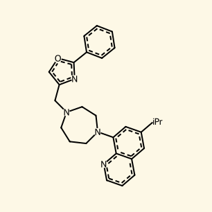 CC(C)c1cc(N2CCCN(Cc3coc(-c4ccccc4)n3)CC2)c2ncccc2c1